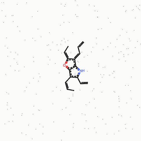 C=C/C=c1\c(=C/C)oc2c(/C=C\C)c(C=C)[nH]c12